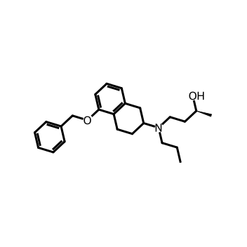 CCCN(CC[C@H](C)O)C1CCc2c(cccc2OCc2ccccc2)C1